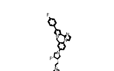 CN(C)CC[C@H]1CN(c2ccc3c(c2)Cn2cc(-c4ccc(F)cc4)cc2-c2nccn2-3)C[C@H]1F